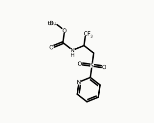 CC(C)(C)OC(=O)NC(CS(=O)(=O)c1ccccn1)C(F)(F)F